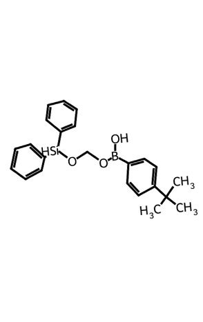 CC(C)(C)c1ccc(B(O)OCO[SiH](c2ccccc2)c2ccccc2)cc1